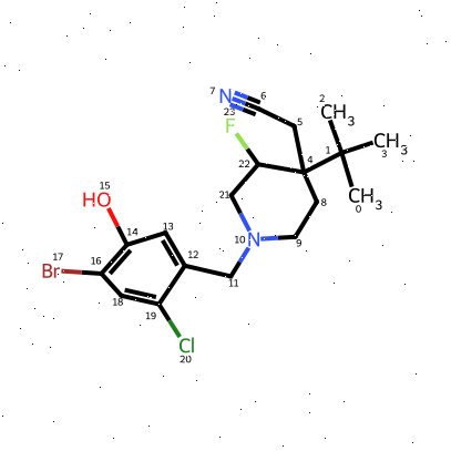 CC(C)(C)C1(CC#N)CCN(Cc2cc(O)c(Br)cc2Cl)CC1F